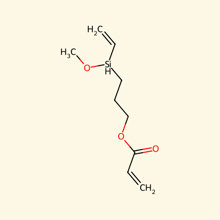 C=CC(=O)OCCC[SiH](C=C)OC